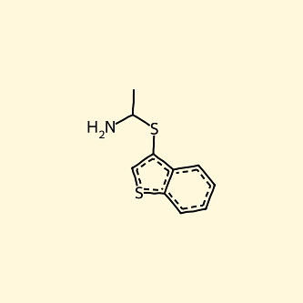 CC(N)Sc1csc2ccccc12